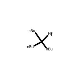 CCCC[C]([Hf])(CCCC)CCCC